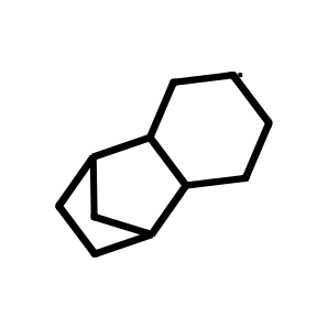 [CH]1CCC2C3CCC(C3)C2C1